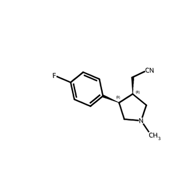 CN1C[C@H](CC#N)[C@H](c2ccc(F)cc2)C1